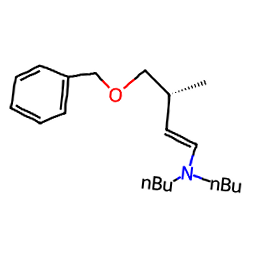 CCCCN(C=C[C@@H](C)COCc1ccccc1)CCCC